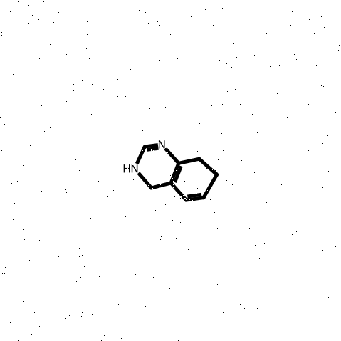 C1=CC2=C(CC1)N=CNC2